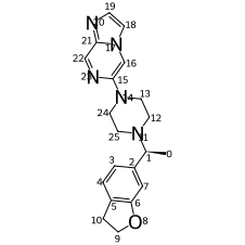 C[C@@H](c1ccc2c(c1)OCC2)N1CCN(c2cn3ccnc3cn2)CC1